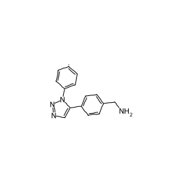 NCc1ccc(-c2cnnn2-c2cc[c]cc2)cc1